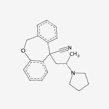 CC(CC1(C#N)c2ccccc2COc2ccccc21)N1CCCC1